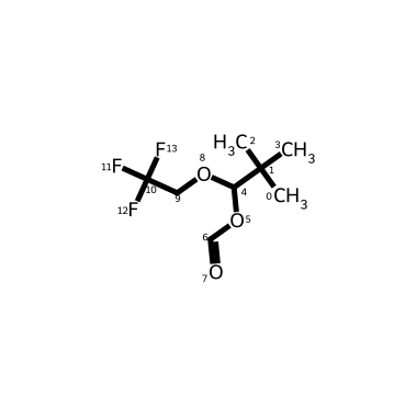 CC(C)(C)C(OC=O)OCC(F)(F)F